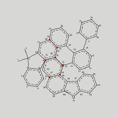 CC1(C)c2ccccc2-c2c(N(c3cccc(-c4ccccc4)c3-c3ccccc3-c3ccccc3)c3cccc4oc5ccccc5c34)cccc21